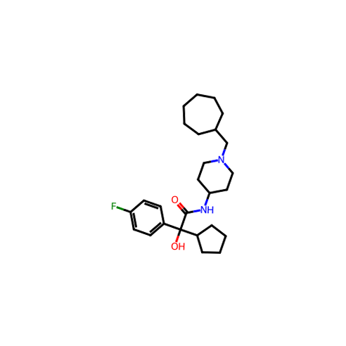 O=C(NC1CCN(CC2CCCCCC2)CC1)C(O)(c1ccc(F)cc1)C1CCCC1